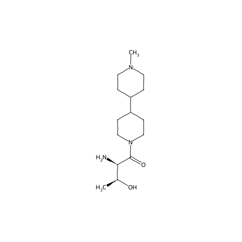 C[C@H](O)[C@@H](N)C(=O)N1CCC(C2CCN(C)CC2)CC1